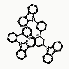 C1=C(c2cccc(-c3ccccc3-n3c4ccccc4c4cccnc43)c2)[C@@H](c2cccc(-n3c4ccccc4c4ccccc43)c2)CC(n2c3ccccc3c3ccccc32)=C1